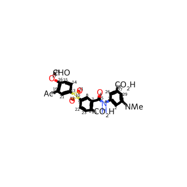 CNc1cc(NC(=O)c2cc(S(=O)(=O)c3ccc(OC=O)c(C(C)=O)c3)ccc2C(=O)O)cc(C(=O)O)c1